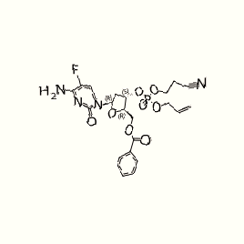 C=CCOP(=O)(OCCC#N)O[C@H]1C[C@H](n2cc(F)c(N)nc2=O)O[C@@H]1COC(=O)c1ccccc1